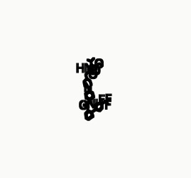 COC(=O)C(NC(=O)CC1CCN(c2ccc(NC(=O)c3ccccc3-c3ccc(C(F)(F)F)cc3)cc2)CC1)C(C)C